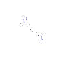 c1cnc(-n2c3ccccc3c3cc(-c4ccc(-c5ccc6c(c5)c5ccccc5n6-c5ncccn5)cc4)ccc32)nc1